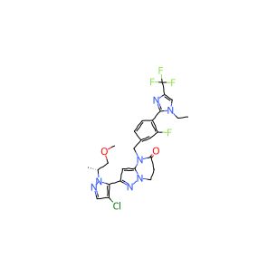 CCn1cc(C(F)(F)F)nc1-c1ccc(CN2C(=O)CCn3nc(-c4c(Cl)cnn4[C@H](C)COC)cc32)cc1F